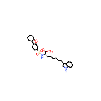 O=C(O)[C@@H](CCCCCCc1c[nH]c2ccccc12)NS(=O)(=O)c1ccc2c3c(oc2c1)CCCC3